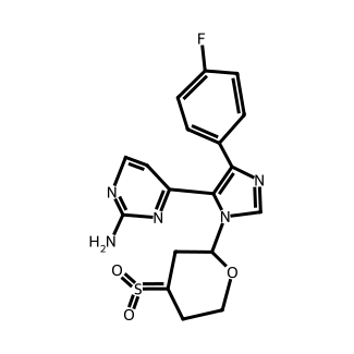 Nc1nccc(-c2c(-c3ccc(F)cc3)ncn2C2CC(=S(=O)=O)CCO2)n1